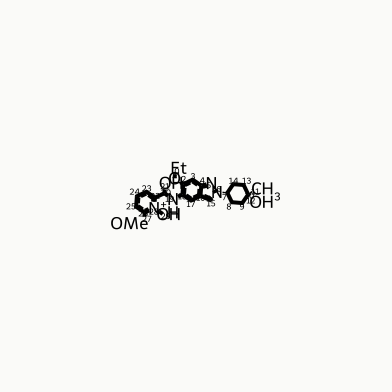 CCOc1cc2nn([C@H]3CC[C@](C)(O)CC3)cc2cc1NC(O)c1cccc(OC)[n+]1O